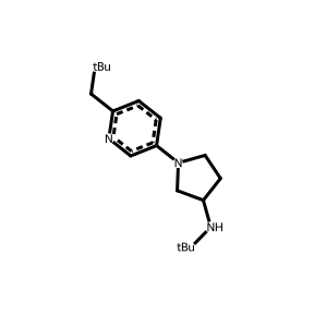 CC(C)(C)Cc1ccc(N2CCC(NC(C)(C)C)C2)cn1